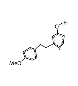 COc1ccc(CCc2[c]ccc(OC(C)C)c2)cc1